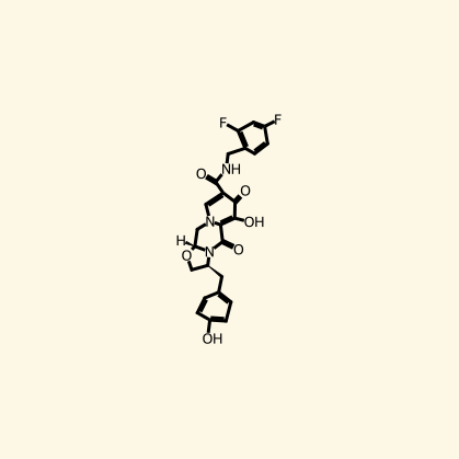 O=C(NCc1ccc(F)cc1F)c1cn2c(c(O)c1=O)C(=O)N1[C@@H](Cc3ccc(O)cc3)CO[C@@H]1C2